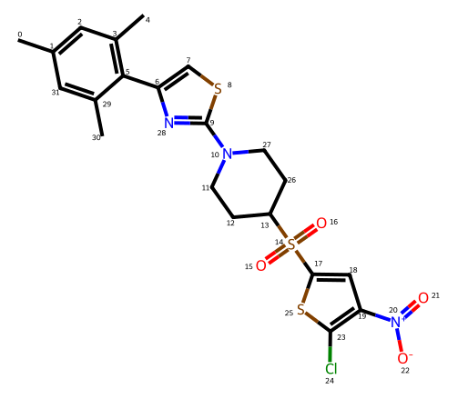 Cc1cc(C)c(-c2csc(N3CCC(S(=O)(=O)c4cc([N+](=O)[O-])c(Cl)s4)CC3)n2)c(C)c1